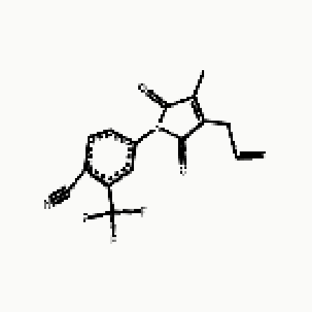 C=CCC1=C(C)C(=O)N(c2ccc(C#N)c(C(F)(F)F)c2)C1=O